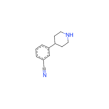 N#Cc1cccc(C2CCNCC2)c1